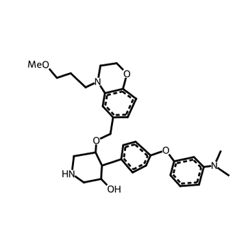 COCCCN1CCOc2ccc(COC3CNCC(O)C3c3ccc(Oc4cccc(N(C)C)c4)cc3)cc21